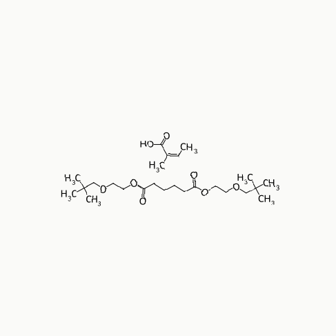 CC(C)(C)COCCOC(=O)CCCCC(=O)OCCOCC(C)(C)C.CC=C(C)C(=O)O